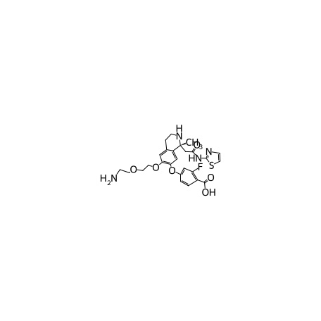 C[C@]1(CC(=O)Nc2nccs2)NCCc2cc(OCCOCCN)c(Oc3ccc(C(=O)O)c(F)c3)cc21